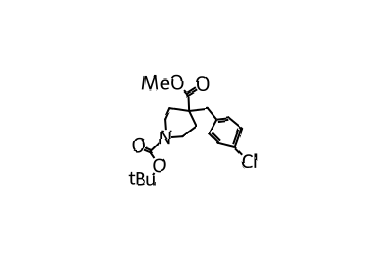 COC(=O)C1(Cc2ccc(Cl)cc2)CCN(C(=O)OC(C)(C)C)CC1